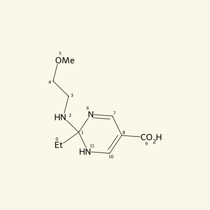 CCC1(NCCOC)N=CC(C(=O)O)=CN1